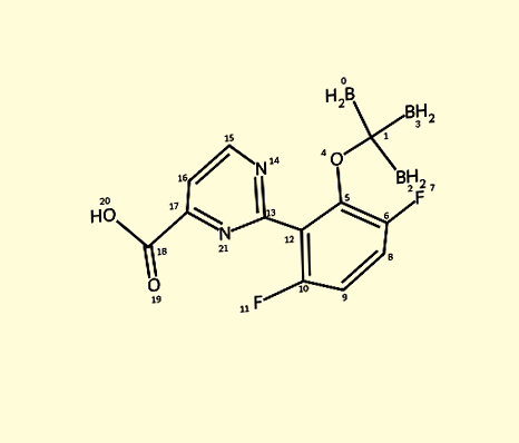 BC(B)(B)Oc1c(F)ccc(F)c1-c1nccc(C(=O)O)n1